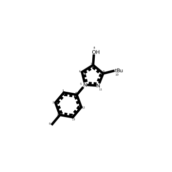 Cc1ccc(-n2cc(O)c(C(C)(C)C)n2)cc1